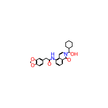 O=C(Cc1ccc2c(c1)OCO2)Nc1cccc2c(=O)n(C(O)C3CCCCC3)ccc12